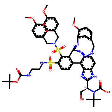 COc1ccc(CN(Cc2ccc(OC)cc2)S(=O)(=O)c2c(S(=O)(=O)NCCNC(=O)OC(C)(C)C)ccc(-c3cccc4[nH]c([C@H](CO)N(C(=O)O)C(C)(C)C)nc34)c2C2=N\c3cc(ccc3OC)CN\N=N\2)cc1